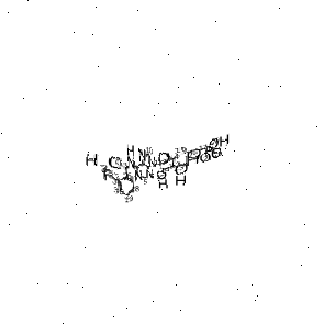 C[C@H](Nc1ncnc2c1ncn2[C@@H]1O[C@H](COCP(=O)(O)O)[C@@H](O)[C@H]1O)c1ccccc1F